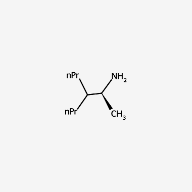 CCCC(CCC)[C@H](C)N